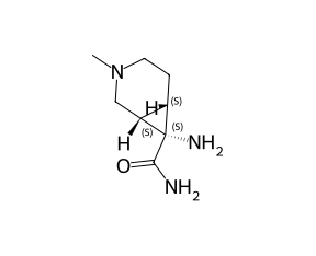 CN1CC[C@H]2[C@@H](C1)[C@]2(N)C(N)=O